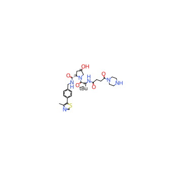 Cc1ncsc1-c1ccc(CNC(=O)[C@@H]2C[C@@H](O)CN2C(=O)[C@@H](NC(=O)CCC(=O)N2CCNCC2)C(C)(C)C)cc1